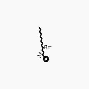 CCCCCCCCCCCCC(c1ccccc1)[P+](C)(C)C.[Br-]